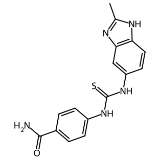 Cc1nc2cc(NC(=S)Nc3ccc(C(N)=O)cc3)ccc2[nH]1